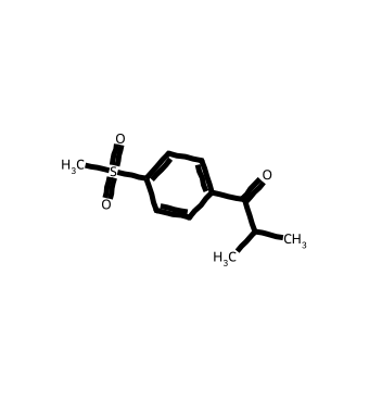 C[C](C)C(=O)c1ccc(S(C)(=O)=O)cc1